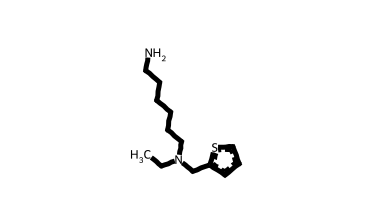 CCN(CCCCCCN)Cc1cccs1